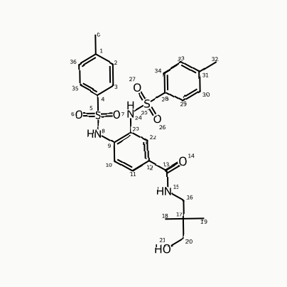 Cc1ccc(S(=O)(=O)Nc2ccc(C(=O)NCC(C)(C)CO)cc2NS(=O)(=O)c2ccc(C)cc2)cc1